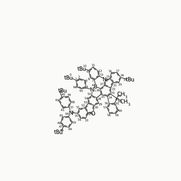 CC(C)(C)c1ccc(N2B3c4cc(C(C)(C)C)ccc4-n4c5ccc(C(C)(C)C)cc5c5c6c(c(c3c54)-c3cc4oc5ccc(N(c7ccc(C(C)(C)C)cc7)c7ccc(C(C)(C)C)cc7)cc5c4cc32)-c2ccccc2C6(C)C)cc1